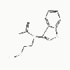 O=C(O)N(CCNO)c1c[nH]c2ccccc12